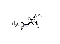 C=C/C(F)=C\C=C(/C)C(=O)OCC